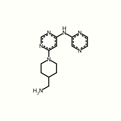 NCC1CCN(c2cc(Nc3cnccn3)ncn2)CC1